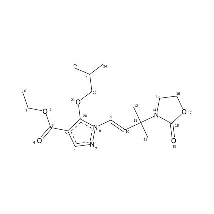 CCOC(=O)c1cnn(/C=C/C(C)(C)N2CCOC2=O)c1OCC(C)C